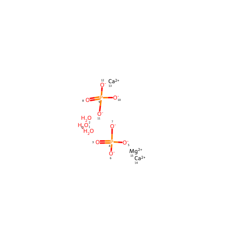 O.O.O.O=P([O-])([O-])[O-].O=P([O-])([O-])[O-].[Ca+2].[Ca+2].[Mg+2]